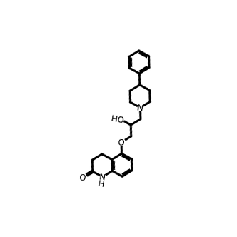 O=C1CCc2c(cccc2OCC(O)CN2CCC(c3ccccc3)CC2)N1